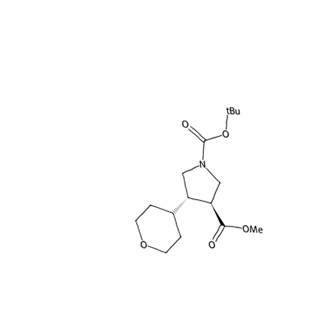 COC(=O)[C@@H]1CN(C(=O)OC(C)(C)C)C[C@H]1C1CCOCC1